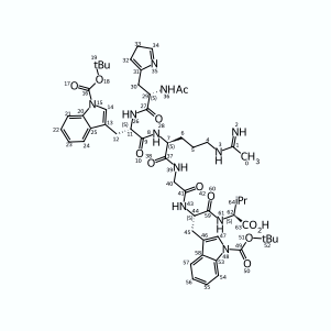 CC(=N)NCCC[C@H](NC(=O)[C@H](Cc1cn(C(=O)OC(C)(C)C)c2ccccc12)NC(=O)[C@H](CC1=CCC=N1)NC(C)=O)C(=O)NCC(=O)N[C@@H](Cc1cn(C(=O)OC(C)(C)C)c2ccccc12)C(=O)N[C@H](C(=O)O)C(C)C